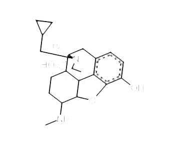 CNC1CC[C@@]2(O)[C@H]3Cc4ccc(O)c5c4[C@@]2(CCN3CC2CC2)C1O5